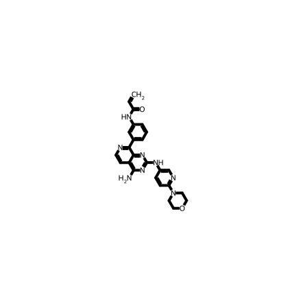 C=CC(=O)Nc1cccc(-c2nccc3c(N)nc(Nc4ccc(N5CCOCC5)nc4)nc23)c1